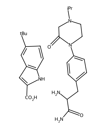 CC(C)(C)c1ccc2[nH]c(C(=O)O)cc2c1.CC(C)N1CCN(c2ccc(CC(N)C(N)=O)cc2)C(=O)C1